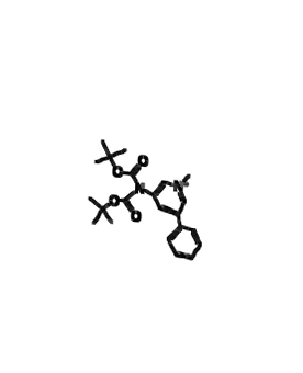 C[n+]1cc(-c2ccccc2)cc(N(C(=O)OC(C)(C)C)C(=O)OC(C)(C)C)c1